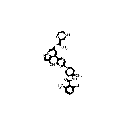 C/C(Oc1cc(-c2cnc(N3CCC(C)(NC(=O)c4c(C)cccc4Cl)CC3)cn2)c2c(C#N)cnn2c1)=C1\CNCCO1